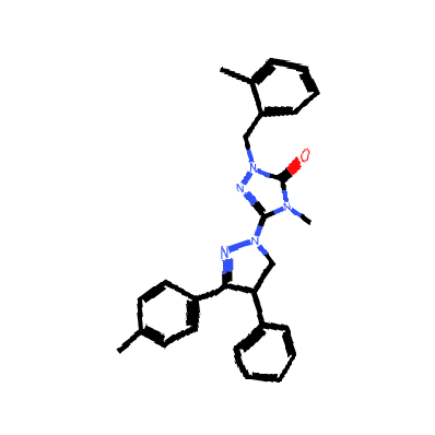 Cc1ccc(C2=NN(c3nn(Cc4ccccc4C)c(=O)n3C)CC2c2ccccc2)cc1